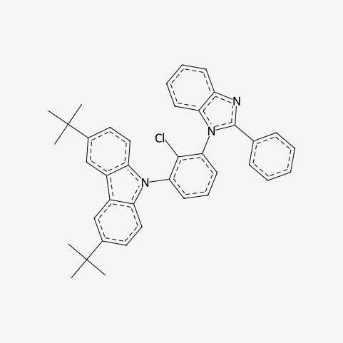 CC(C)(C)c1ccc2c(c1)c1cc(C(C)(C)C)ccc1n2-c1cccc(-n2c(-c3ccccc3)nc3ccccc32)c1Cl